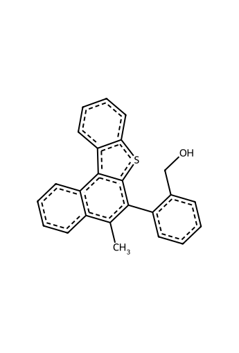 Cc1c(-c2ccccc2CO)c2sc3ccccc3c2c2ccccc12